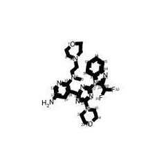 CN(CCN1CCOCC1)c1ncc(N)cc1-c1nc(N2CCOCC2)nc(-n2c(C(F)F)nc3ccccc32)n1